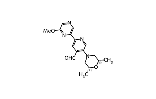 COc1cncc(-c2cc(C=O)c(N3C[C@@H](C)O[C@@H](C)C3)cn2)n1